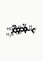 CC1=C2Cc3c(C)c(CNC(CF)CF)cc(N(C)C)c3C[C@H]2C[C@H]2[C@@H](N(C)C)C(O)=C(CN)C[C@@]12O